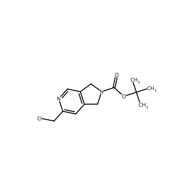 CC(C)(C)OC(=O)N1Cc2cnc(CCl)cc2C1